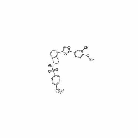 CC(C)Oc1ccc(-c2nc(-c3cccc4c3CC[C@@H]4NS(=O)(=O)c3ccc(C(=O)O)cc3)no2)cc1C#N